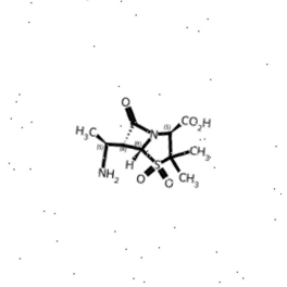 C[C@H](N)[C@@H]1C(=O)N2[C@@H](C(=O)O)C(C)(C)S(=O)(=O)[C@H]12